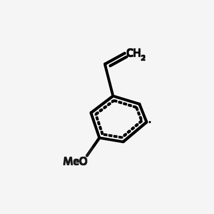 C=Cc1c[c]cc(OC)c1